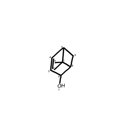 CC1(C)C2C=CC(O)C1C2